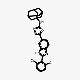 Clc1cccc(Cl)c1-c1nc2ccc(-c3nnc(NC45CC6CC(CC(C6)C4)C5)o3)cc2[nH]1